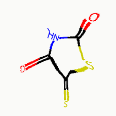 O=C1NC(=O)C(=S)S1